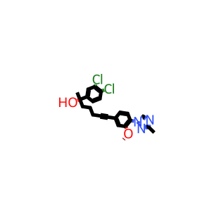 COc1cc(C#CCCCC(C)(O)c2ccc(Cl)c(Cl)c2)ccc1-n1cnc(C)n1